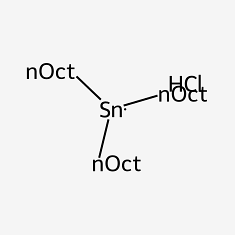 CCCCCCC[CH2][Sn]([CH2]CCCCCCC)[CH2]CCCCCCC.Cl